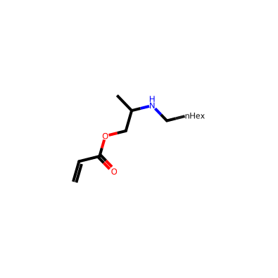 C=CC(=O)OCC(C)NCCCCCCC